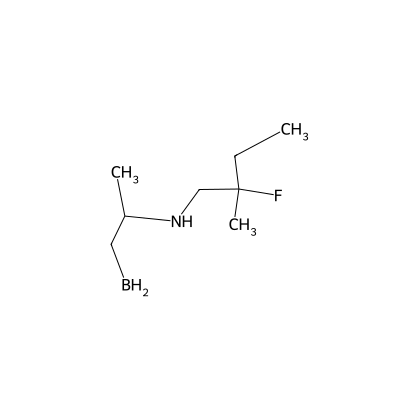 BCC(C)NCC(C)(F)CC